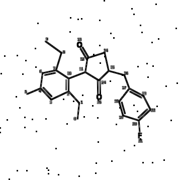 CCc1cc(C)cc(CC)c1C1C(=O)CC(Cc2ccc(F)cc2)C1=O